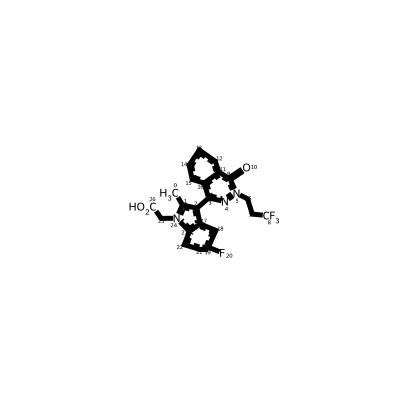 Cc1c(-c2nn(CCC(F)(F)F)c(=O)c3ccccc23)c2cc(F)ccc2n1CC(=O)O